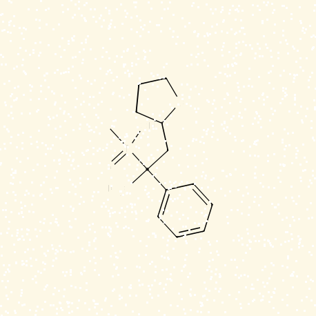 CP(=O)(O)C(CC1CCCO1)(C(=O)O)c1ccccc1